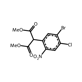 COC(=O)C(C(=O)OC)c1cc(Br)c(Cl)cc1[N+](=O)[O-]